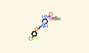 CC(C)(C)OC(=O)NC1CCN(NCCOc2ccc(Cl)c(F)c2)CC1